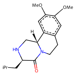 COc1cc2c(cc1OC)[C@H]1CN[C@H](CC(C)C)C(=O)N1CC2